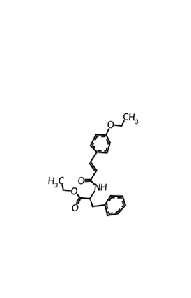 CCOC(=O)[C@H](Cc1ccccc1)NC(=O)/C=C/c1ccc(OCC)cc1